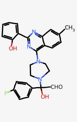 Cc1ccc2c(N3CCN(C(O)(C=O)c4ccc(F)cc4)CC3)nc(-c3ccccc3O)nc2c1